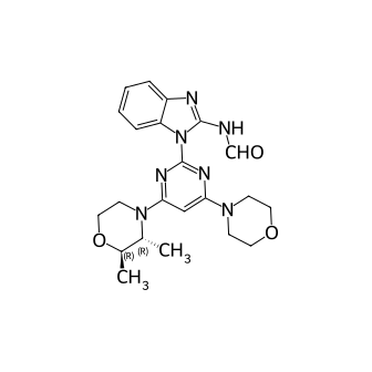 C[C@@H]1[C@@H](C)OCCN1c1cc(N2CCOCC2)nc(-n2c(NC=O)nc3ccccc32)n1